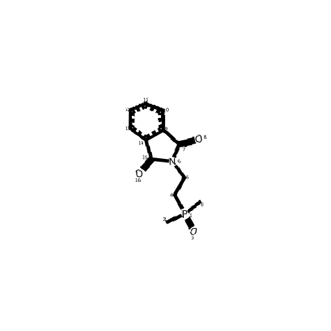 CP(C)(=O)CCN1C(=O)c2ccccc2C1=O